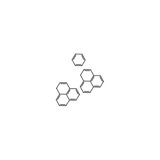 C1=Cc2cccc3cccc(c23)C1.C1=Cc2cccc3cccc(c23)C1.c1ccccc1